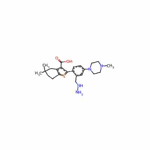 CN1CCN(c2ccc(-c3sc4c(c3C(=O)O)CC(C)(C)CC4)c(CNN)c2)CC1